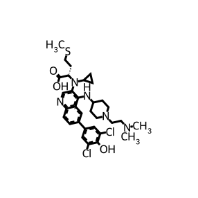 CSCC[C@@H](C(=O)O)N(c1cnc2ccc(-c3cc(Cl)c(O)c(Cl)c3)cc2c1NC1CCN(CCN(C)C)CC1)C1CC1